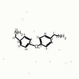 NCc1ccc(Oc2ccc(CN)cc2)cc1